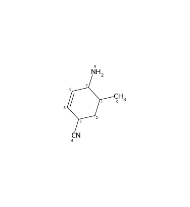 CC1CC(C#N)C=CC1N